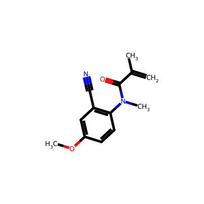 C=C(C)C(=O)N(C)c1ccc(OC)cc1C#N